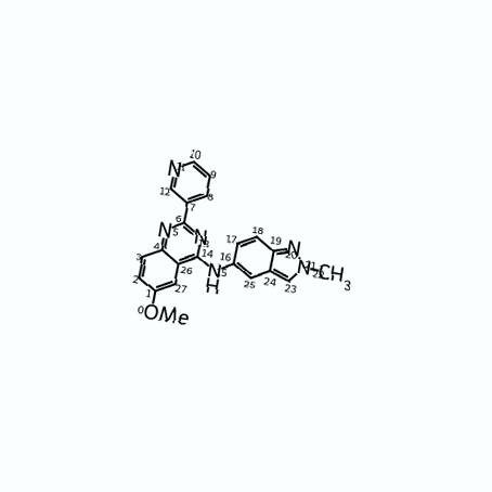 COc1ccc2nc(-c3cccnc3)nc(Nc3ccc4nn(C)cc4c3)c2c1